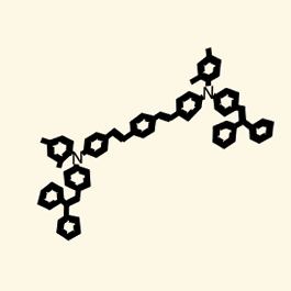 Cc1ccc(N(c2ccc(C=C(c3ccccc3)c3ccccc3)cc2)c2ccc(/C=C/c3ccc(/C=C/c4ccc(N(c5ccc(C=C(c6ccccc6)c6ccccc6)cc5)c5ccc(C)cc5C)cc4)cc3)cc2)c(C)c1